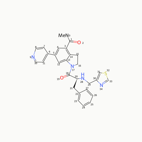 CNC(=O)c1cc(-c2ccncc2)cc2c1CCN2C(=O)[C@H](Cc1ccccc1)NCc1cscn1